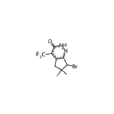 CC1(C)Cc2c(n[nH]c(=O)c2C(F)(F)F)C1Br